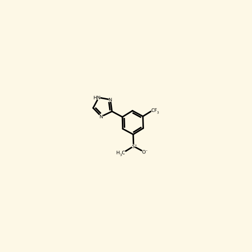 C[S+]([O-])c1cc(-c2nc[nH]n2)cc(C(F)(F)F)c1